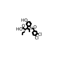 CCC[C@H](C(=O)O)c1c(C)n(C(=O)c2ccc(Cl)c(Cl)c2)c2ccc(O)cc12